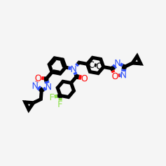 O=C(C1CCC(F)(F)CC1)N(CC12CCC(c3nc(C4CC4)no3)(CC1)CC2)c1cccc(-c2nc(CC3CC3)no2)c1